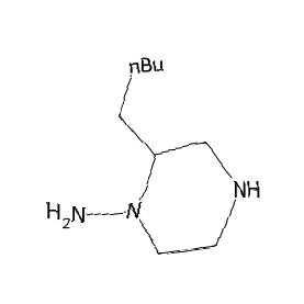 CCCCCC1CNCCN1N